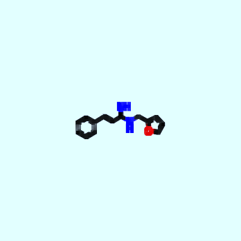 N=C(C=Cc1ccccc1)NCc1ccco1